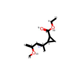 C=C(/C=C(\C)C1CC1C(=O)OCC)OC